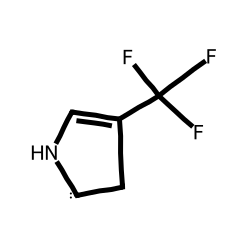 FC(F)(F)C1=CN[C]C1